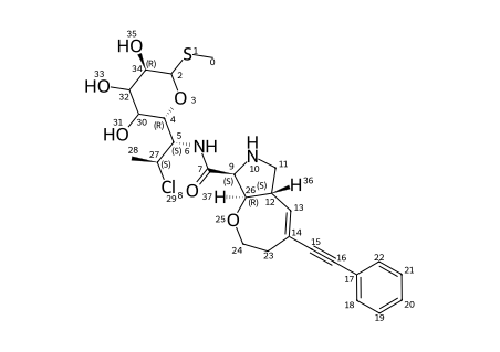 CSC1O[C@H]([C@H](NC(=O)[C@H]2NC[C@@H]3C=C(C#Cc4ccccc4)CCO[C@@H]23)[C@H](C)Cl)C(O)C(O)[C@H]1O